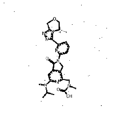 CC(C)N(C)c1cc2c(c(CN(C)C(=O)O)n1)CN(c1cccc(-c3nnc4n3[C@@H](C)COC4)n1)C2=O